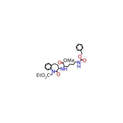 CCOC(=O)CN1C(=O)C(NC(CCCCNC(=O)OCc2ccccc2)C(=O)OC)CCc2ccccc21